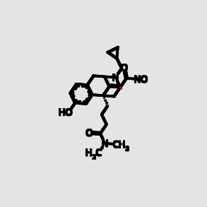 CN(C)C(=O)CCC[C@]12CCN(CC3CC3)C(Cc3ccc(O)cc31)/C2=C\C(=O)N=O